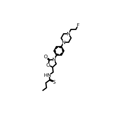 CCCC(=S)NCC1CN(c2ccc(N3CCN(CCF)CC3)cc2)C(=O)O1